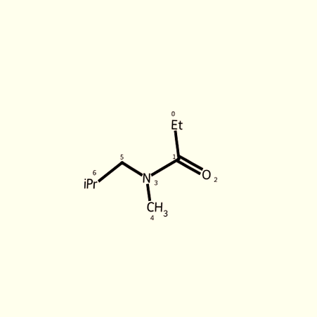 CCC(=O)N(C)CC(C)C